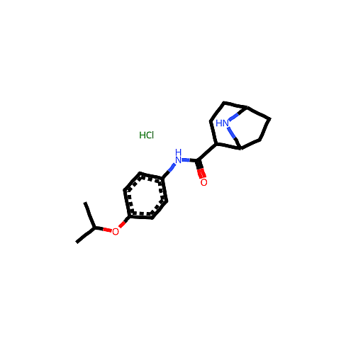 CC(C)Oc1ccc(NC(=O)C2CCC3CCC2N3)cc1.Cl